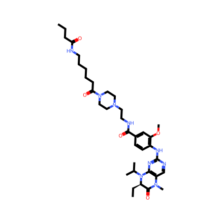 CCCC(=O)NCCCCCC(=O)N1CCN(CCNC(=O)c2ccc(Nc3ncc4c(n3)N(C(C)C)[C@H](CC)C(=O)N4C)c(OC)c2)CC1